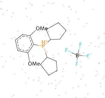 COc1cccc(OC)c1[PH+](C1CCCC1)C1CCCC1.F[B-](F)(F)F